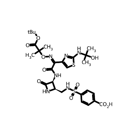 CC(C)(O)Nc1nc(/C(=N/OC(C)(C)C(=O)OC(C)(C)C)C(=O)N[C@@H]2C(=O)N[C@@H]2CNS(=O)(=O)c2ccc(C(=O)O)cc2)cs1